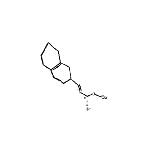 CC(C)[C@H](/N=C/N1CCC2=C(CCCC2)C1)OC(C)(C)C